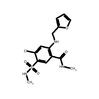 CNC(=O)c1cc(S(=O)(=O)NC)c(Cl)cc1NCc1ccco1